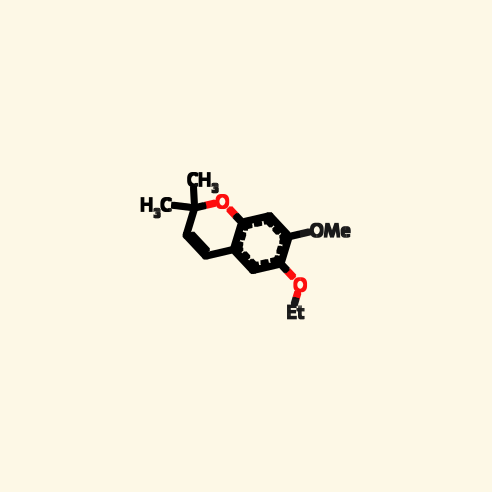 CCOc1cc2c(cc1OC)OC(C)(C)C=C2